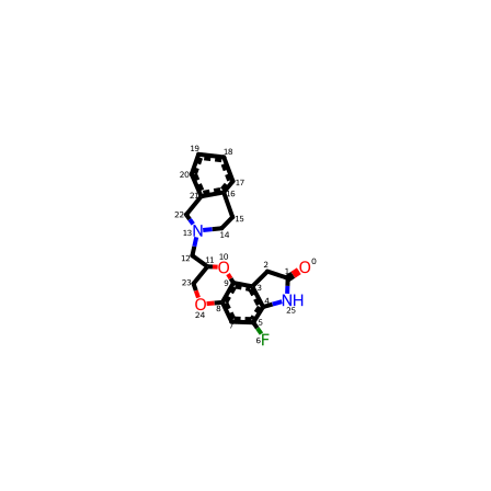 O=C1Cc2c(c(F)cc3c2OC(CN2CCc4ccccc4C2)CO3)N1